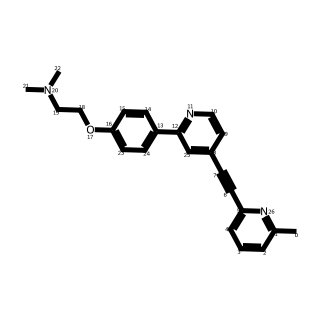 Cc1cccc(C#Cc2ccnc(-c3ccc(OCCN(C)C)cc3)c2)n1